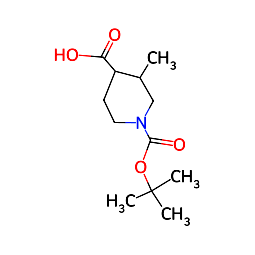 CC1CN(C(=O)OC(C)(C)C)CCC1C(=O)O